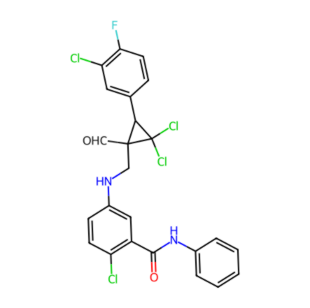 O=CC1(CNc2ccc(Cl)c(C(=O)Nc3ccccc3)c2)C(c2ccc(F)c(Cl)c2)C1(Cl)Cl